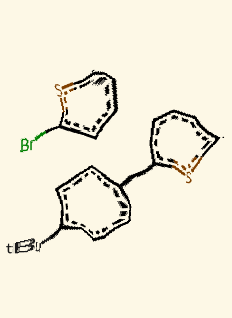 Brc1cc[c]s1.CC(C)(C)c1ccc(-c2cc[c]s2)cc1